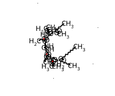 C=CCOP(=O)(OCCNC(=O)NCCOP(=O)(OCC=C)OC[C@@H](COCC[C@@H](CCCCCCC)OC(=O)CCCCCCCCCCC)NC(=O)OC(C)(C)C)OC[C@@H](COCC[C@@H](CCCCCCC)OC(C)=O)NC(=O)OC(C)(C)C